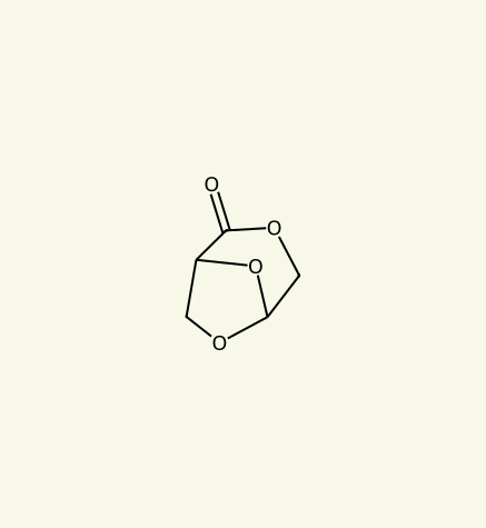 O=C1OCC2OCC1O2